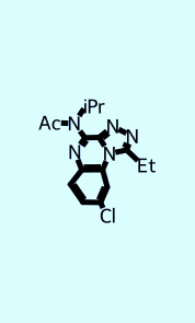 CCc1nnc2c(N(C(C)=O)C(C)C)nc3ccc(Cl)cc3n12